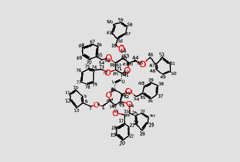 C(=C[C@H]1O[C@H](COCc2ccccc2)[C@@H](OCc2ccccc2)[C@H](OCc2ccccc2)[C@@H]1OCc1ccccc1)[C@H]1O[C@H](COCc2ccccc2)[C@@H](OCc2ccccc2)[C@H](OCc2ccccc2)[C@@H]1OCc1ccccc1